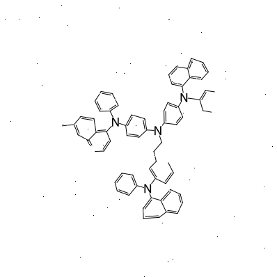 C=c1cc(C)cc/c1=C(/C=C\C)N(c1ccccc1)c1ccc(N(CCC/C=C(\C=C/C)N(c2ccccc2)c2cccc3ccccc23)c2ccc(N(/C(=C/C)CC)c3cccc4ccccc34)cc2)cc1